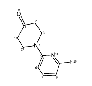 O=C1CCN(c2cccc(F)n2)CC1